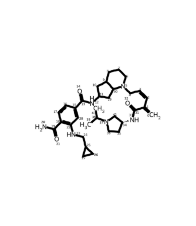 C=C(/C=C\CN1CCCC2CC(NC(=O)c3ccc(C(N)=O)c(NCC4CC4)c3)CC21)C(=O)N[C@@H]1CCN(C(C)C)C1